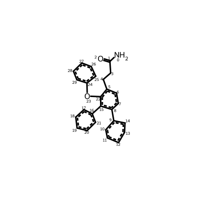 NC(=O)CCc1ccc(-c2ccccc2)c(-c2ccccc2)c1Oc1ccccc1